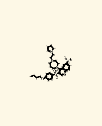 CCCCOc1ccc(S(=O)(=O)c2cnc3ccc([S+](C)[O-])cc3c2N2CCCN(CCN3CCCC3)CC2)cc1